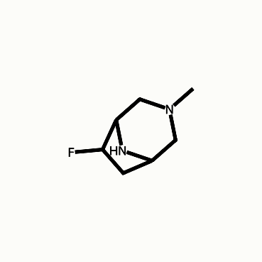 CN1CC2CC(F)C(C1)N2